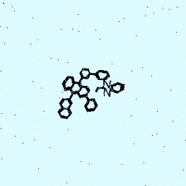 CCc1nc2ccccc2n1-c1cccc(-c2cccc(-c3c4ccccc4c(-c4ccc5ccccc5c4)c4cc(-c5ccccc5)ccc34)c2)c1